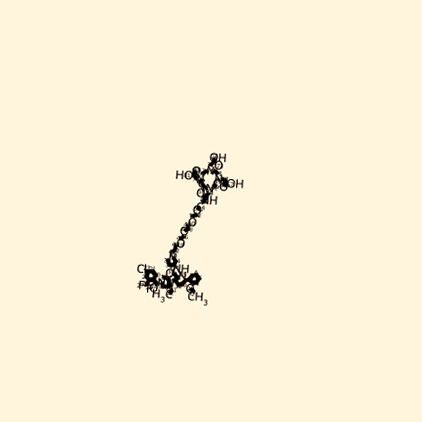 CCOc1ccccc1-c1ccc(N2CCN(C(=O)c3ccc(Cl)cc3C(F)F)C[C@H]2CC)c(C(=O)N[C@@H]2CCN(CCCOCCOCCOCCOCCNC(=O)CN3CCN(CC(=O)O)CCN(CC(=O)O)CCN(CC(=O)O)CC3)C2)n1